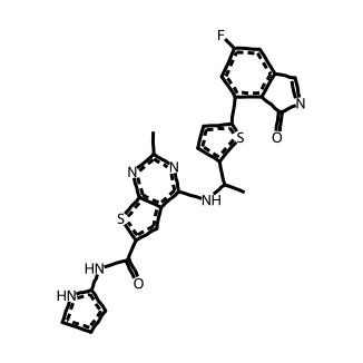 Cc1nc(NC(C)c2ccc(-c3cc(F)cc4c3C(=O)N=C4)s2)c2cc(C(=O)Nc3ccc[nH]3)sc2n1